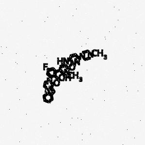 CN1CCN(c2ccc(Nc3cc(-c4cc(F)cc(N5CCn6c(cc7c6CCCC7)C5=O)c4CO)cn(C)c3=O)nn2)CC1